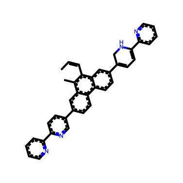 C/C=C\c1c(C)c2cc(-c3ccc(-c4ccccn4)nc3)ccc2c2ccc(C3=CC=C(c4ccccn4)NC3)cc12